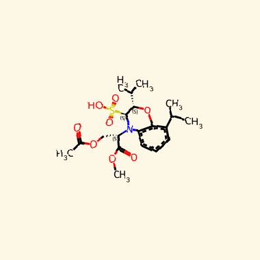 COC(=O)[C@H](COC(C)=O)N1c2cccc(C(C)C)c2O[C@@H](C(C)C)[C@@H]1S(=O)(=O)O